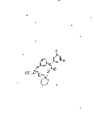 O=C(O)COCC1(COC(=O)N(c2cccc(F)c2)c2cc(F)cc(F)c2)CCCCC1